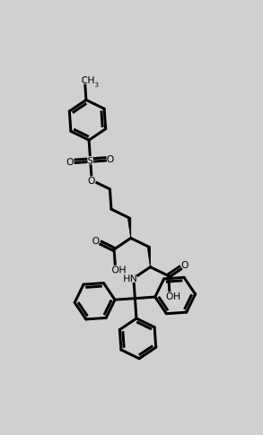 Cc1ccc(S(=O)(=O)OCCC[C@@H](C[C@H](NC(c2ccccc2)(c2ccccc2)c2ccccc2)C(=O)O)C(=O)O)cc1